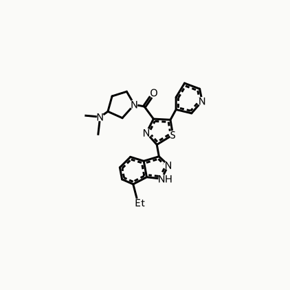 CCc1cccc2c(-c3nc(C(=O)N4CCC(N(C)C)C4)c(-c4cccnc4)s3)n[nH]c12